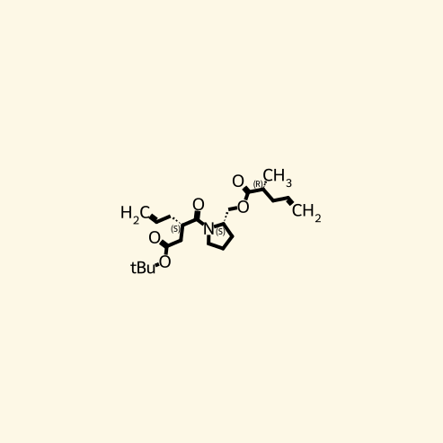 C=CC[C@@H](CC(=O)OC(C)(C)C)C(=O)N1CCC[C@H]1COC(=O)[C@H](C)CC=C